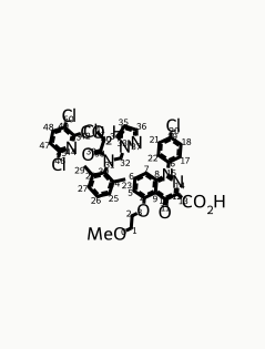 COCCOc1cccc2c1c(=O)c(C(=O)O)nn2-c1ccc(Cl)cc1.Cc1cccc(C)c1N(Cn1cccn1)C(=O)CCl.O=C(O)c1nc(Cl)ccc1Cl